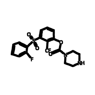 O=C(Oc1cccc(S(=O)(=O)c2ccccc2F)c1C(F)(F)F)N1CCNCC1